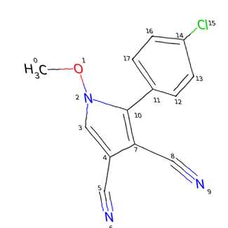 COn1cc(C#N)c(C#N)c1-c1ccc(Cl)cc1